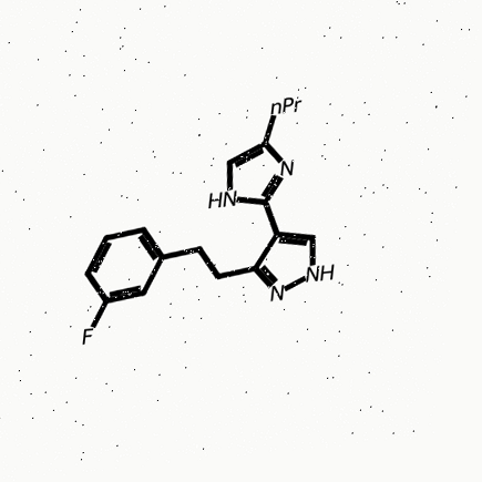 CCCc1c[nH]c(-c2c[nH]nc2CCc2cccc(F)c2)n1